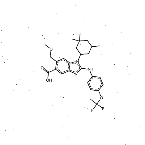 COCc1cc2c(cc1C(=O)O)nc(Nc1ccc(OC(F)(F)F)cc1)n2C1CC(C)CC(C)(C)C1